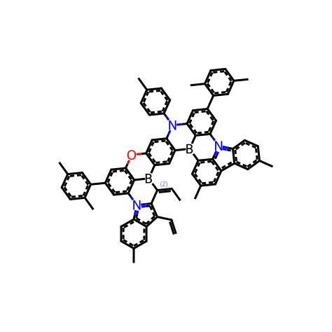 C=Cc1c2n(c3ccc(C)cc13)-c1cc(-c3cc(C)ccc3C)cc3c1B(/C2=C/C)c1cc2c(cc1O3)N(c1ccc(C)cc1)c1cc(-c3cc(C)ccc3C)cc3c1B2c1cc(C)cc2c4cc(C)ccc4n-3c12